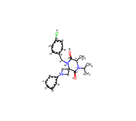 CC(C)N1C(=O)C2(CN(c3ccccc3)C2)N(Cc2ccc(Cl)cc2)C(=O)C1C